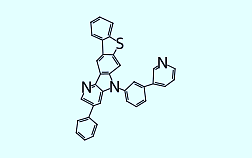 c1ccc(-c2cnc3c4cc5c(cc4n(-c4cccc(-c6cccnc6)c4)c3c2)sc2ccccc25)cc1